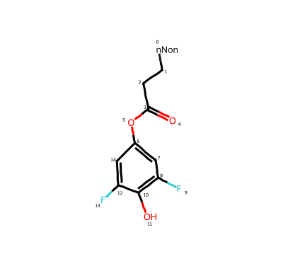 CCCCCCCCCCCC(=O)Oc1cc(F)c(O)c(F)c1